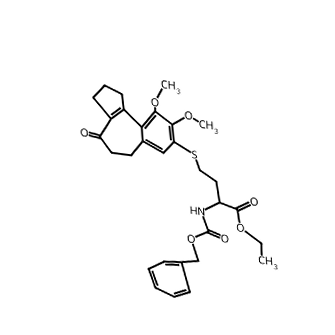 CCOC(=O)C(CCSc1cc2c(c(OC)c1OC)C1=C(CCC1)C(=O)CC2)NC(=O)OCc1ccccc1